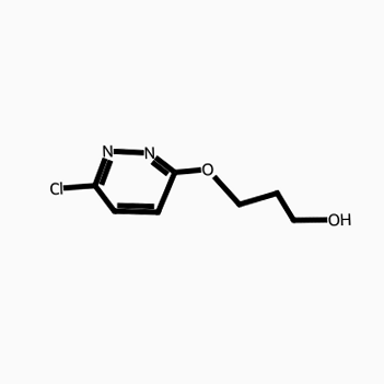 OCCCOc1ccc(Cl)nn1